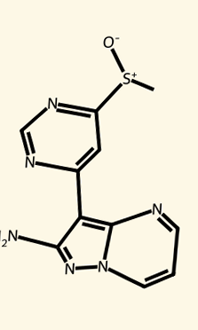 C[S+]([O-])c1cc(-c2c(N)nn3cccnc23)ncn1